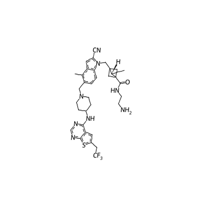 Cc1c(CN2CCC(Nc3ncnc4sc(CC(F)(F)F)cc34)CC2)ccc2c1cc(C#N)n2CC12CC(C(=O)NCCN)(C1)[C@H]2C